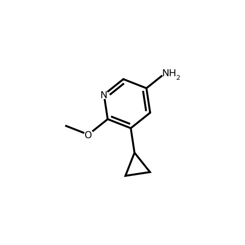 COc1ncc(N)cc1C1CC1